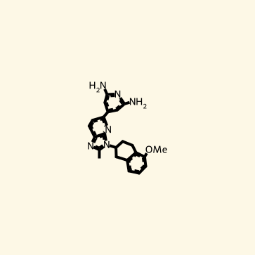 COc1cccc2c1CCC(n1c(C)nc3ccc(-c4cc(N)nc(N)c4)nc31)C2